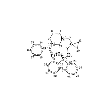 CC(C)(C)[Si](OCC1(CN2C=CCN(C(=O)c3ccccc3)C2)CC1)(c1ccccc1)c1ccccc1